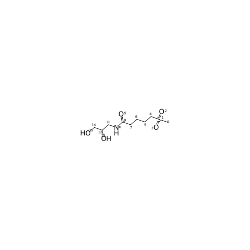 CS(=O)(=O)CCCCC(=O)NCC(O)CO